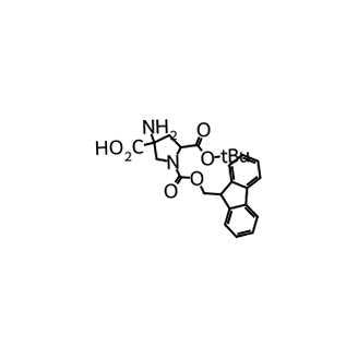 CC(C)(C)OC(=O)C1CC(N)(C(=O)O)CN1C(=O)OCC1c2ccccc2-c2ccccc21